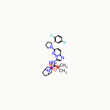 CC(C)(C)OC(=O)N1C2CCC1CN(C(=O)Nc1cnc3ccc(N4CCC[C@@H]4c4cc(F)ccc4F)nn13)C2